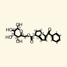 O=C(c1ccccc1)c1ccc2n1CC[C@@H]2C(=O)OCC1O[C@H](O)C(O)[C@@H](O)[C@H]1O